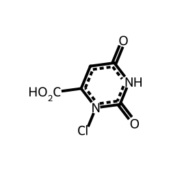 O=C(O)c1cc(=O)[nH]c(=O)n1Cl